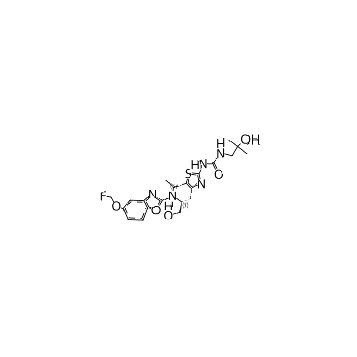 C[C@H]1c2sc(NC(=O)NCC(C)(C)O)nc2C[C@@H](CO)N1c1nc2cc(OCF)ccc2o1